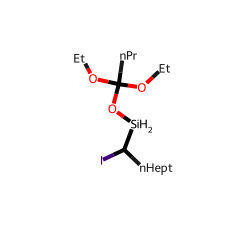 CCCCCCCC(I)[SiH2]OC(CCC)(OCC)OCC